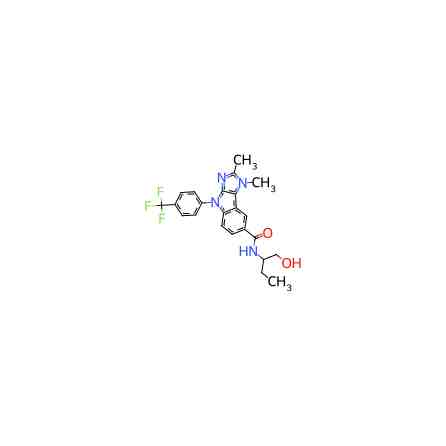 CCC(CO)NC(=O)c1ccc2c(c1)c1c(nc(C)n1C)n2-c1ccc(C(F)(F)F)cc1